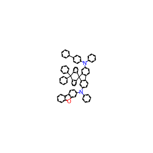 c1ccc(-c2ccc(N(c3ccccc3)c3ccc4c(c3)C3(c5cc(N(c6ccccc6)c6ccc7c(c6)oc6ccccc67)ccc5-4)c4ccccc4C(c4ccccc4)(c4ccccc4)c4ccccc43)cc2)cc1